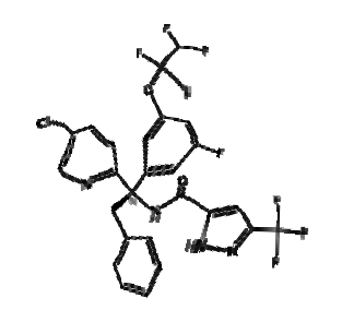 O=C(N[C@@](Cc1ccccc1)(c1cc(F)cc(OC(F)(F)C(F)F)c1)c1ccc(Cl)cn1)c1cc(C(F)(F)F)n[nH]1